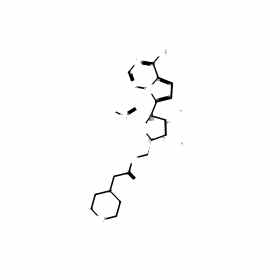 CN=C[C@@]1(c2ccc3c(N)ncnn23)O[C@H](COC(=O)CC2CCNCC2)[C@@H](O)[C@H]1O